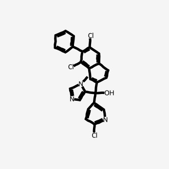 Cn1cncc1C(O)(c1ccc(Cl)nc1)c1ccc2cc(Cl)c(-c3ccccc3)c(Cl)c2c1